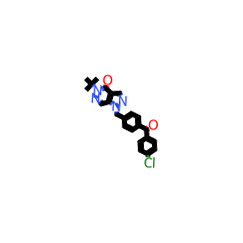 CC(C)(C)n1ncc2c(cnn2Cc2ccc(C(=O)c3ccc(Cl)cc3)cc2)c1=O